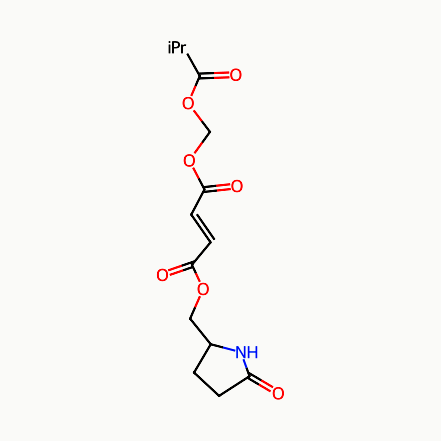 CC(C)C(=O)OCOC(=O)/C=C/C(=O)OCC1CCC(=O)N1